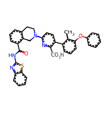 Cc1c(Oc2ccccc2)cccc1-c1ccc(N2CCc3cccc(C(=O)Nc4nc5ccccc5s4)c3C2)nc1C(=O)O